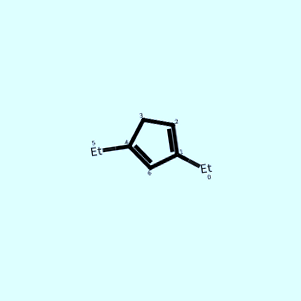 CCC1=CCC(CC)=C1